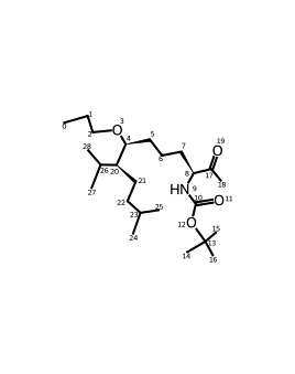 CCCO[C@@H](CCC[C@H](NC(=O)OC(C)(C)C)C(C)=O)[C@@H](CCC(C)C)C(C)C